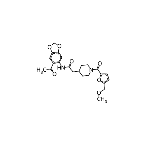 COCc1ccc(C(=O)N2CCC(CC(=O)Nc3cc4c(cc3C(C)=O)OCO4)CC2)o1